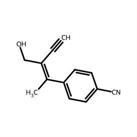 C#C/C(CO)=C(/C)c1ccc(C#N)cc1